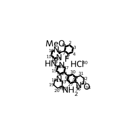 COc1cccc(F)c1-c1nccc(Nc2cc(N3CCC[C@H](N)C3)c(-c3ccc4c(c3)CCC(=O)N4C)cn2)n1.Cl